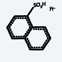 O=S(=O)(O)c1cccc2ccccc12.[Fr]